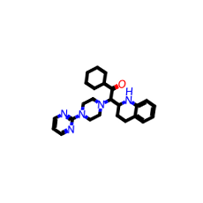 O=C(C1CCCCC1)C(C1CCc2ccccc2N1)N1CCN(c2ncccn2)CC1